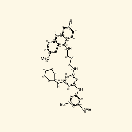 CCc1cc(Nc2nc(NCCCNc3c4ccc(Cl)cc4nc4ccc(OC)cc34)nc(NC3CCCCC3)n2)cc(OC)c1